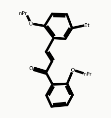 CCCOc1ccc(CC)cc1C=CC(=O)c1ccccc1OCCC